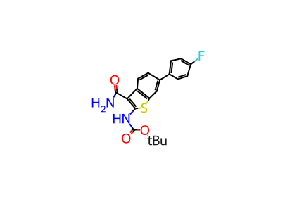 CC(C)(C)OC(=O)Nc1sc2cc(-c3ccc(F)cc3)ccc2c1C(N)=O